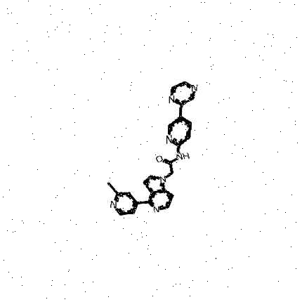 Cc1cc(-c2nccc3c2ccn3CC(=O)Nc2ccc(-c3cnccn3)cn2)ccn1